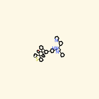 C1=C(c2ccccc2)N=C(c2ccc(-c3ccc4c(c3)-c3ccccc3C43c4ccccc4C4(c5ccccc5Sc5ccccc54)c4ccccc43)cc2)NC1c1cccc(-c2ccccn2)c1